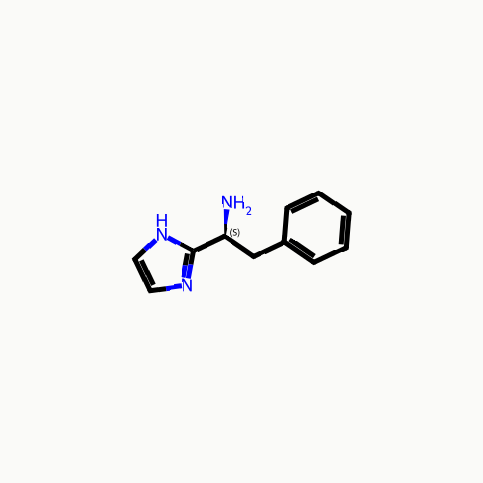 N[C@@H](Cc1ccccc1)c1ncc[nH]1